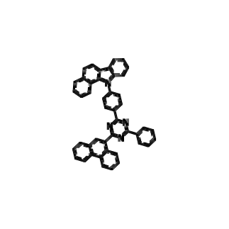 c1ccc(-c2nc(-c3ccc(-n4c5ccccc5c5ccc6ccccc6c54)cc3)nc(-c3cc4ccccc4c4ccccc34)n2)cc1